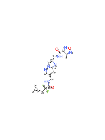 Cc1nonc1C(=O)NCc1cn2ncc(CNC(=O)C(F)(F)CC3CC3)cc2n1